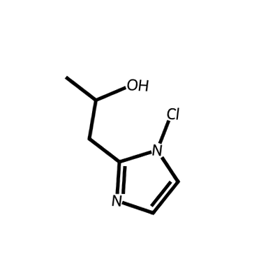 CC(O)Cc1nccn1Cl